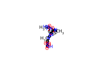 CCCc1cc(C)[nH]c(=O)c1CNC(=O)c1cc(-c2ccc(N3CCC(N(C)Cc4ccc5c(c4)C(=O)N(C4CCC(=O)NC4=O)C5=O)CC3)nc2)cc2c1cnn2C(C)C